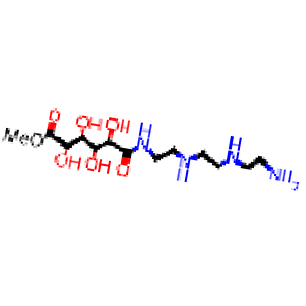 COC(=O)[C@@H](O)[C@@H](O)[C@H](O)[C@@H](O)C(=O)NCCNCCNCCN